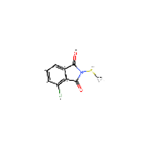 O=C1c2cccc(Cl)c2C(=O)N1SC(Cl)(Cl)Cl